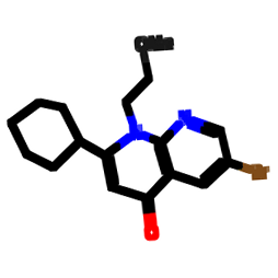 COCCn1c(C2CCCCC2)cc(=O)c2cc(Br)cnc21